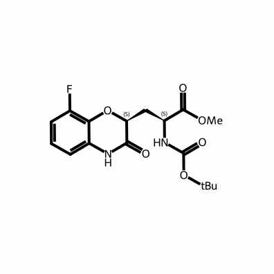 COC(=O)[C@H](C[C@@H]1Oc2c(F)cccc2NC1=O)NC(=O)OC(C)(C)C